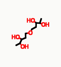 CC(O)C(O)CCOCCC(O)C(C)O